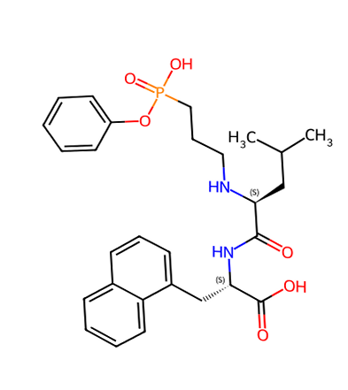 CC(C)C[C@H](NCCCP(=O)(O)Oc1ccccc1)C(=O)N[C@@H](Cc1cccc2ccccc12)C(=O)O